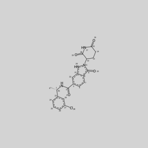 C[C@H](NC(=O)c1ccc2c(=O)n(C3CCC(=O)NC3=O)[nH]c2c1)c1cccc(Cl)c1